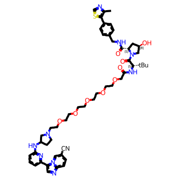 Cc1ncsc1-c1ccc(CNC(=O)[C@@H]2C[C@@H](O)CN2C(=O)[C@@H](NC(=O)COCCOCCOCCOCCOCCN2CCC(Nc3cccc(-c4cnc5ccc(C#N)cn45)n3)C2)C(C)(C)C)cc1